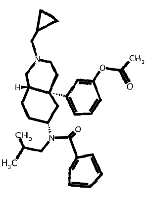 CC(=O)Oc1cccc([C@@]23CCN(CC4CC4)C[C@H]2CC[C@@H](N(CC(C)C)C(=O)c2ccccc2)C3)c1